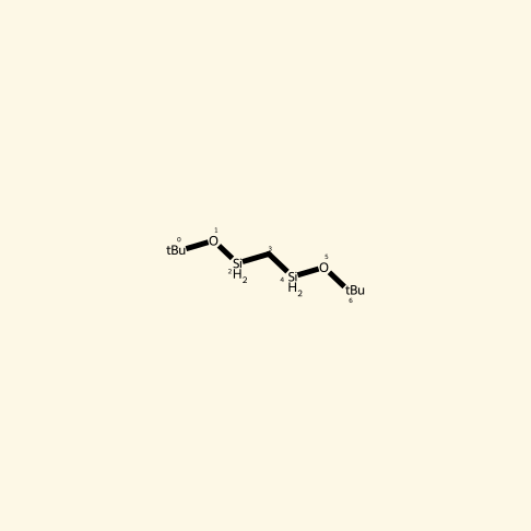 CC(C)(C)O[SiH2]C[SiH2]OC(C)(C)C